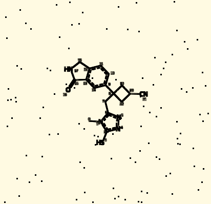 Cn1c(S)nnc1CC1(c2ccc3c(c2)C(=O)NC3)CC(C#N)C1